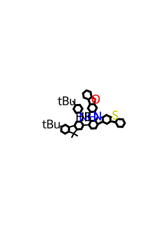 CC(C)(C)c1ccc(Nc2cc3c(cc2-c2ccc4c5cc6c(cc5n5c4c2Bc2cc4c(cc2-5)oc2ccccc24)sc2ccccc26)C(C)(C)c2ccc(C(C)(C)C)cc2-3)cc1